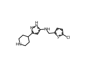 Clc1ccc(CNc2cc(C3CCNCC3)n[nH]2)s1